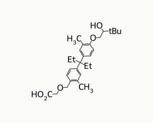 CCC(CC)(c1ccc(COCC(=O)O)c(C)c1)c1ccc(OCC(O)C(C)(C)C)c(C)c1